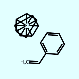 C=Cc1ccccc1.[CH]12[CH]3[CH]4[CH]5[CH]1[Fe]23451678[CH]2[CH]1[CH]6[CH]7[CH]28